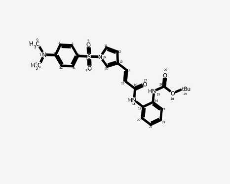 CN(C)c1ccc(S(=O)(=O)n2ccc(C=CC(=O)Nc3ccccc3NC(=O)OC(C)(C)C)c2)cc1